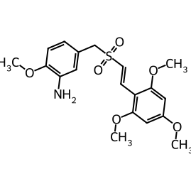 COc1cc(OC)c(C=CS(=O)(=O)Cc2ccc(OC)c(N)c2)c(OC)c1